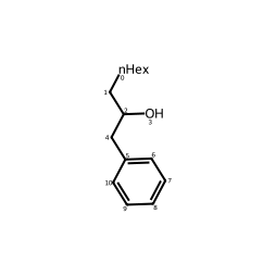 CCCCCCCC(O)Cc1ccccc1